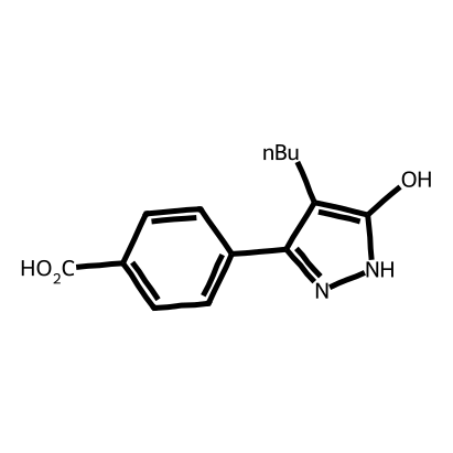 CCCCc1c(-c2ccc(C(=O)O)cc2)n[nH]c1O